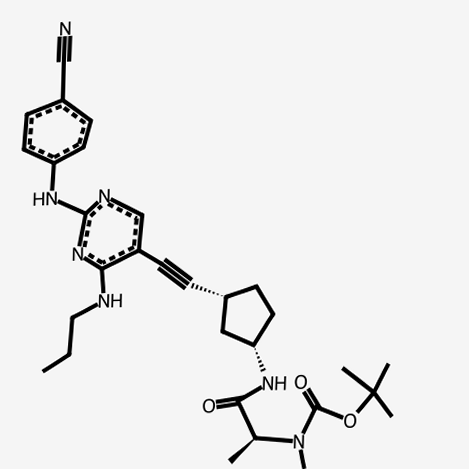 CCCNc1nc(Nc2ccc(C#N)cc2)ncc1C#C[C@@H]1CC[C@H](NC(=O)[C@H](C)N(C)C(=O)OC(C)(C)C)C1